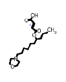 CCCCC(CCCCCCN1CCOCC1)OC(=O)/C=C/C(=O)O